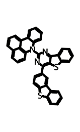 c1ccc2c(c1)-c1cccc3cccc(c13)N2c1nc(-c2ccc3sc4ccccc4c3c2)c2sc3ccccc3c2n1